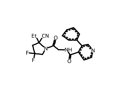 CCC1(C#N)CC(F)(F)CN1C(=O)CNC(=O)c1ccncc1-c1ccccc1